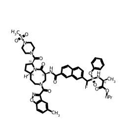 CCCOC(=O)[C@H](C)NP(=O)(Oc1ccccc1)C(F)c1ccc2ccc(C(=O)N[C@H]3CN(C(=O)c4noc5ccc(C)cc45)CC[C@H]4CC[C@@H](C(=O)N5CCN(S(C)(=O)=O)CC5)N4C3=O)cc2c1